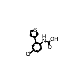 O=C(O)Nc1ccc(Cl)cc1-c1ccsc1